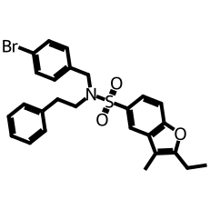 CCc1oc2ccc(S(=O)(=O)N(CCc3ccccc3)Cc3ccc(Br)cc3)cc2c1C